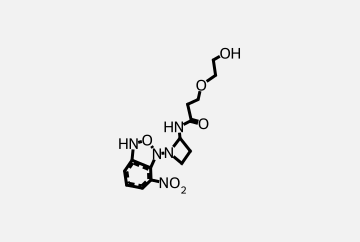 O=C(CCOCCO)NC1CCN1N1ONc2cccc([N+](=O)[O-])c21